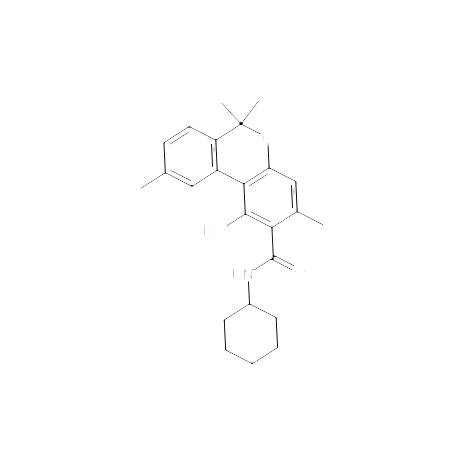 Cc1ccc2c(c1)-c1c(cc(C)c(C(=O)NC3CCCCC3)c1O)OC2(C)C